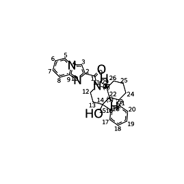 O=C(c1cn2ccccc2n1)N1CCC(O)(c2ccccc2)[C@H]2CCCC[C@H]21